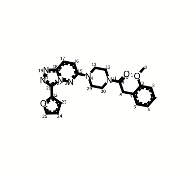 COc1ccccc1CC(=O)N1CCN(c2ccc3nnc(-c4ccco4)n3n2)CC1